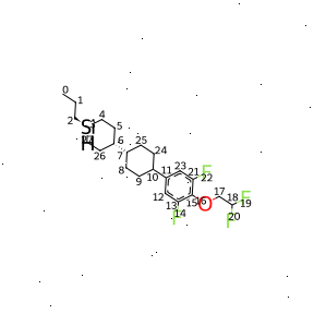 CCC[Si@H]1CC[C@H](C2CCC(c3cc(F)c(OCC(F)F)c(F)c3)CC2)CC1